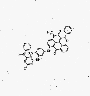 CCN(c1ccccc1)c1nc(Cl)nc(Nc2cc(Nc3ccc4c5c3C(=O)c3ccccc3-c5c(C(=O)c3ccccc3)c(=O)n4C)ccc2S(=O)(=O)O)n1